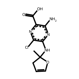 CC1(Nc2nc(N)c(C(=O)O)nc2Cl)CC=CO1